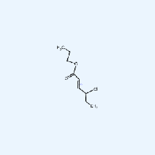 CCCOC(=O)/C=C/C(Cl)CC